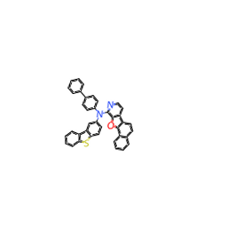 c1ccc(-c2ccc(N(c3ccc4sc5ccccc5c4c3)c3nccc4c3oc3c5ccccc5ccc43)cc2)cc1